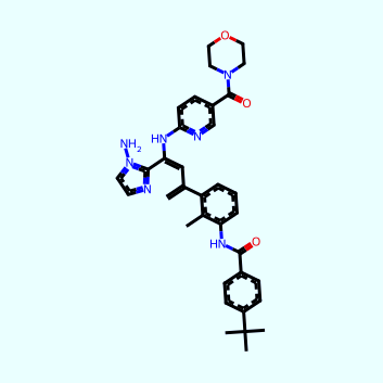 C=C(/C=C(/Nc1ccc(C(=O)N2CCOCC2)cn1)c1nccn1N)c1cccc(NC(=O)c2ccc(C(C)(C)C)cc2)c1C